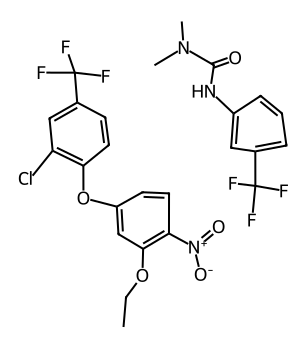 CCOc1cc(Oc2ccc(C(F)(F)F)cc2Cl)ccc1[N+](=O)[O-].CN(C)C(=O)Nc1cccc(C(F)(F)F)c1